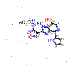 CCn1c(-c2nonc2NC(=O)O)nc2c(-c3ccc[nH]3)ncc(O)c21